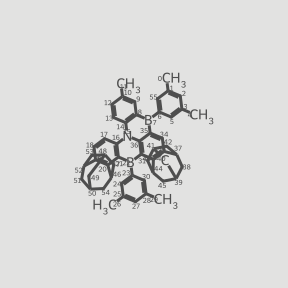 Cc1cc(C)cc(B2c3cc(C)ccc3N3c4ccc5c(c4B(c4cc(C)cc(C)c4)c4c6c(cc2c43)C2CC3CC(C2)CC6C3)C2CC3CC(CC5C3)C2)c1